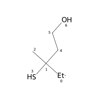 C[CH]C(C)(S)CCO